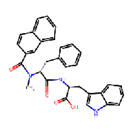 CN(C(=O)c1ccc2ccccc2c1)[C@H](Cc1ccccc1)C(=O)N[C@@H](Cc1c[nH]c2ccccc12)C(=O)O